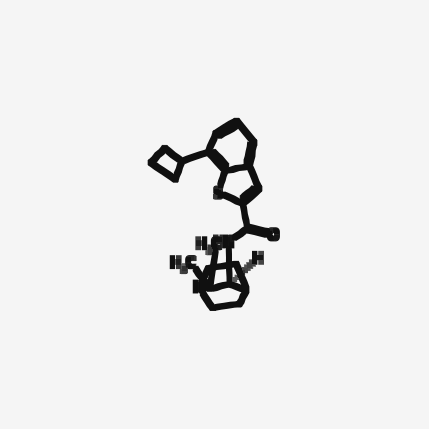 CC1(C)[C@@H](NC(=O)c2cc3cccc(C4CCC4)c3s2)C2CCN1CC2